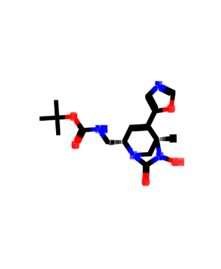 CC(C)(C)OC(=O)NC[C@@H]1C=C(c2cnco2)[C@@H]2CN1C(=O)N2O